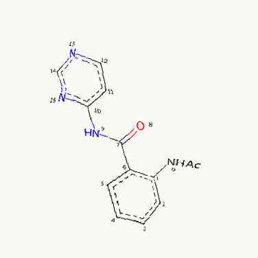 CC(=O)Nc1ccccc1C(=O)Nc1ccncn1